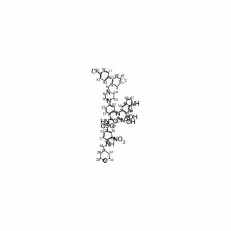 CC1(C)CCC(CN2CCN(c3ccc(C(=O)NS(=O)(=O)c4ccc(NCC5CCOCC5)c([N+](=O)[O-])c4)c(N4C=NS(O)(O)c5nc6[nH]ccc6cc54)c3)CC2)=C(c2ccc(Cl)cc2)C1